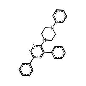 c1ccc(-c2cc(-c3ccccc3)c(N3CCN(c4ccccc4)CC3)nn2)cc1